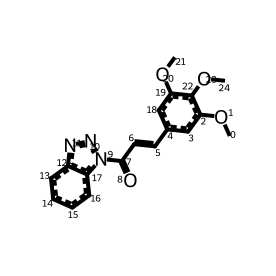 COc1cc(C=CC(=O)n2nnc3ccccc32)cc(OC)c1OC